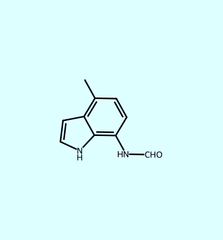 Cc1ccc(NC=O)c2[nH]ccc12